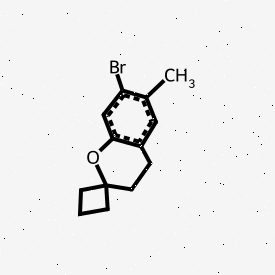 Cc1cc2c(cc1Br)OC1(CCC1)CC2